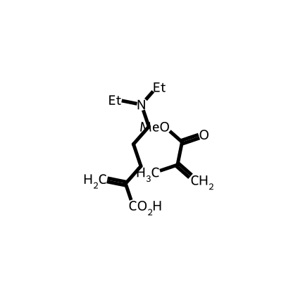 C=C(C)C(=O)OC.C=C(CCCN(CC)CC)C(=O)O